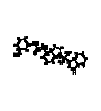 [2H]C([2H])(c1c[nH]c2ncccc12)N1CCc2c(NC(=O)Nc3cccc(C#N)c3)cccc21